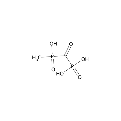 CP(=O)(O)C(=O)P(=O)(O)O